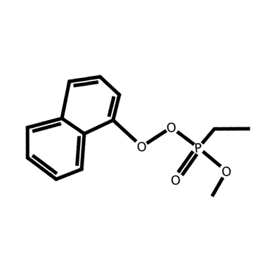 CCP(=O)(OC)OOc1cccc2ccccc12